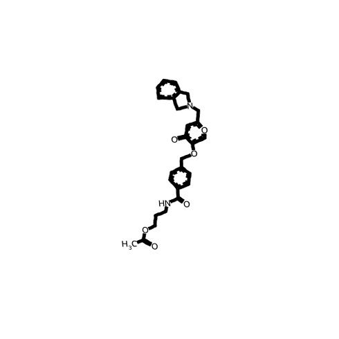 CC(=O)OCCCNC(=O)c1ccc(COc2coc(CN3Cc4ccccc4C3)cc2=O)cc1